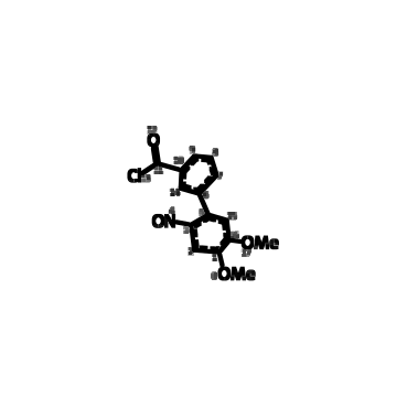 COc1cc(N=O)c(-c2cccc(C(=O)Cl)c2)cc1OC